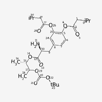 CC(C)CC(=O)Oc1ccc(C[C@H](N)C(=O)O[C@@H](C)C(C)OC(=O)OC(C)(C)C)cc1OC(=O)CC(C)C